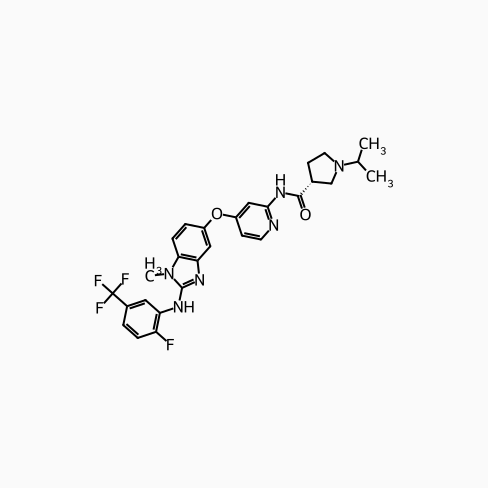 CC(C)N1CC[C@@H](C(=O)Nc2cc(Oc3ccc4c(c3)nc(Nc3cc(C(F)(F)F)ccc3F)n4C)ccn2)C1